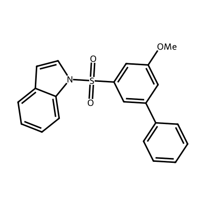 COc1cc(-c2ccccc2)cc(S(=O)(=O)n2ccc3ccccc32)c1